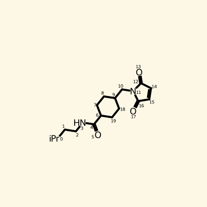 CC(C)CCNC(=O)C1CCC(CN2C(=O)C=CC2=O)CC1